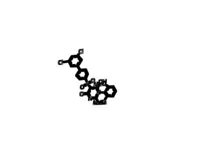 CCCCc1nc(=O)c(S(=O)(=O)c2ccc(-c3cc(Cl)cc(Cl)c3)cc2)c(O)n1-c1c(OC)cccc1OC